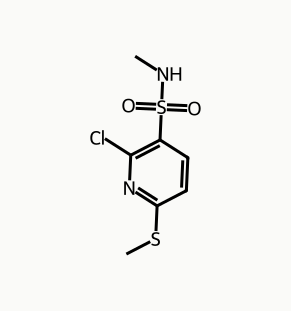 CNS(=O)(=O)c1ccc(SC)nc1Cl